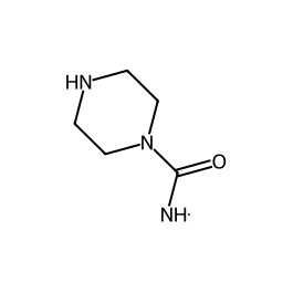 [NH]C(=O)N1CCNCC1